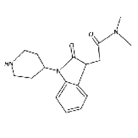 CN(C)C(=O)CC1C(=O)N(C2CCNCC2)c2ccccc21